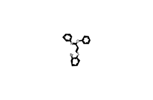 Brc1ccccc1S/C=C/C(=N/c1ccccc1)Oc1ccccc1